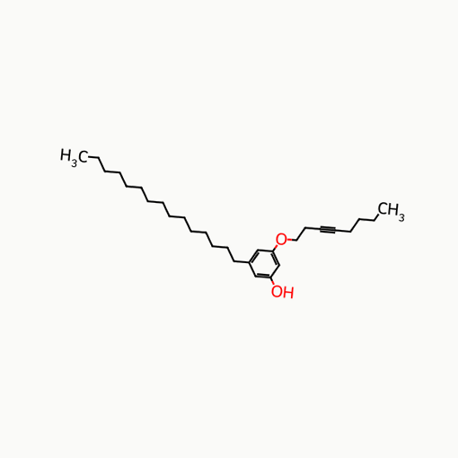 CCCCC#CCCOc1cc(O)cc(CCCCCCCCCCCCCCC)c1